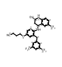 CC[C@@H]1C[C@H](Nc2ncc(OCCCC#N)cc2Cc2cc(C(F)(F)F)cc(C(F)(F)F)c2)c2cc(C(F)(F)F)ccc2N1